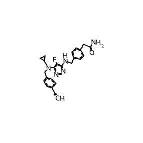 C#Cc1ccc(CN(c2ncnc(NCc3ccc(CC(N)=O)cc3)c2F)C2CC2)cc1